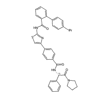 CC(C)c1ccc(-c2ccccc2C(=O)Nc2nc(-c3ccc(C(=O)N[C@H](C(=O)N4CCCC4)c4ccccc4)cc3)cs2)cc1